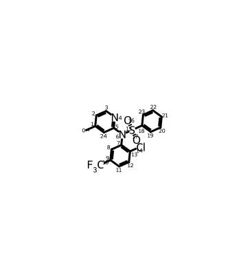 [CH2]c1ccnc(N(c2cc(C(F)(F)F)ccc2Cl)S(=O)(=O)c2ccccc2)c1